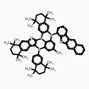 Cc1cc2c3c(c1)N(c1cccc4c1oc1cc5ccccc5cc14)c1cc4c(cc1B3c1oc3cc5c(cc3c1N2c1ccc2c(c1)C(C)(C)CCC2(C)C)C(C)(C)CCC5(C)C)C(C)(C)CCC4(C)C